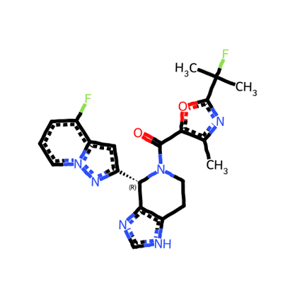 Cc1nc(C(C)(C)F)oc1C(=O)N1CCc2[nH]cnc2[C@@H]1c1cc2c(F)cccn2n1